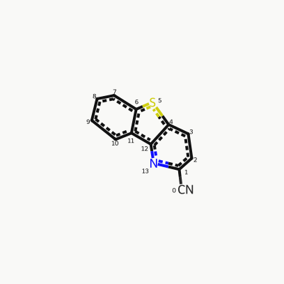 N#Cc1ccc2sc3ccccc3c2n1